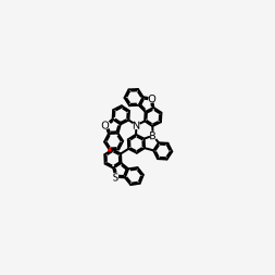 c1ccc2c(c1)B1c3ccc4oc5ccccc5c4c3N(c3cccc4oc5ccccc5c34)c3cc(-c4cccc5sc6ccccc6c45)cc-2c31